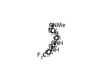 CNC(=O)c1cc(Oc2ccc(NC(=O)CC(=O)Nc3ccc(C(F)(F)F)cc3)cc2)ccn1